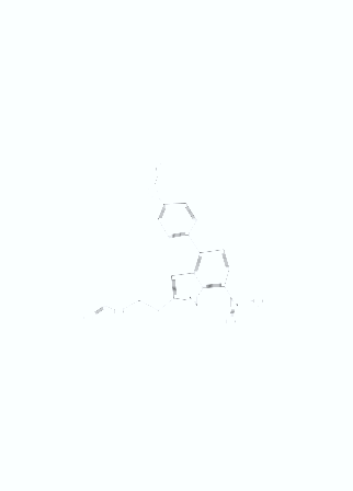 COc1ccc(-c2ccc([N+](=O)[O-])c3[nH]c(CCOC=O)cc23)cc1